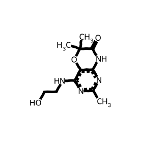 Cc1nc(NCCO)c2c(n1)NC(=O)C(C)(C)O2